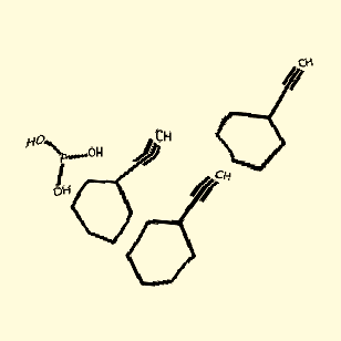 C#CC1CCCCC1.C#CC1CCCCC1.C#CC1CCCCC1.OP(O)O